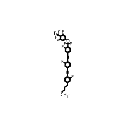 CCCCCc1ccc(C#Cc2ccc(C#Cc3ccc(C(F)(F)Oc4cc(F)c(C(F)(F)F)c(F)c4)c(F)c3)c(F)c2)c(F)c1